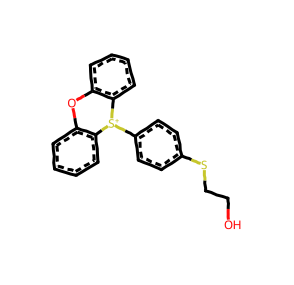 OCCSc1ccc([S+]2c3ccccc3Oc3ccccc32)cc1